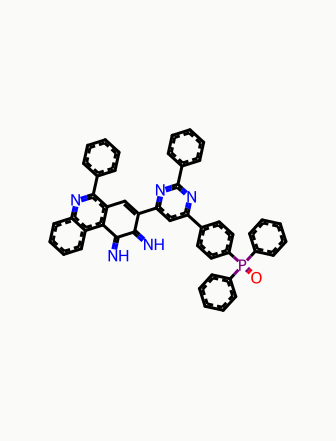 N=C1C(=N)c2c(c(-c3ccccc3)nc3ccccc23)C=C1c1cc(-c2ccc(P(=O)(c3ccccc3)c3ccccc3)cc2)nc(-c2ccccc2)n1